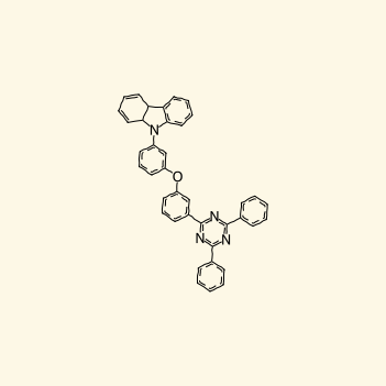 C1=CC2c3ccccc3N(c3cccc(Oc4cccc(-c5nc(-c6ccccc6)nc(-c6ccccc6)n5)c4)c3)C2C=C1